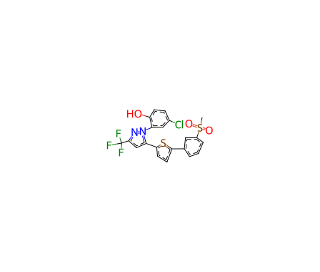 CS(=O)(=O)c1cccc(-c2ccc(-c3cc(C(F)(F)F)nn3-c3cc(Cl)ccc3O)s2)c1